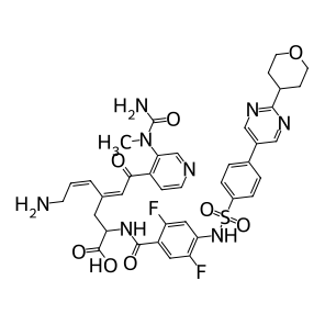 CN(C(N)=O)c1cnccc1C(=O)C=C(/C=C\CN)CC(NC(=O)c1cc(F)c(NS(=O)(=O)c2ccc(-c3cnc(C4CCOCC4)nc3)cc2)cc1F)C(=O)O